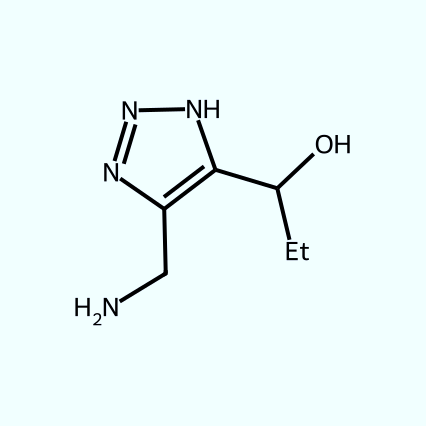 CCC(O)c1[nH]nnc1CN